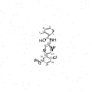 Cc1ccncc1C(O)Nc1cnc(-c2cc(OC(C)C)ccc2Cl)cn1